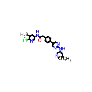 Bc1cc(NC(=O)Cc2ccc(-c3cnc(NC(/C=N\C)=C/CC)nc3)cc2)cnc1Cl